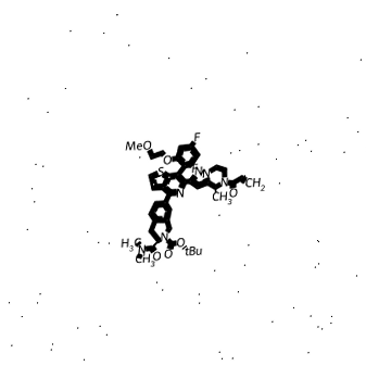 C=CC(=O)N1CCn2nc(-c3nc(-c4ccc5c(c4)CN(C(=O)OC(C)(C)C)[C@@H](C(=O)N(C)C)C5)c4ccsc4c3-c3c(F)cc(F)cc3OCCOC)cc2[C@H]1C